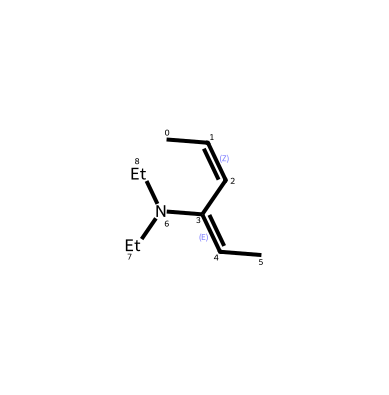 C/C=C\C(=C/C)N(CC)CC